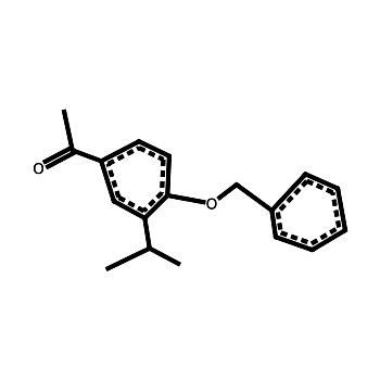 CC(=O)c1ccc(OCc2ccccc2)c(C(C)C)c1